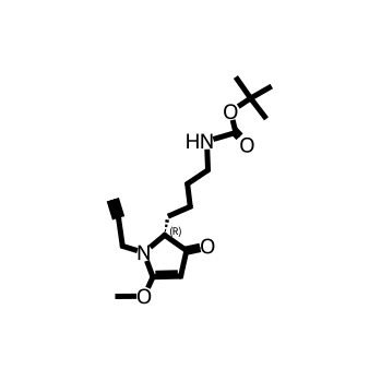 C#CCN1C(OC)=CC(=O)[C@H]1CCCCNC(=O)OC(C)(C)C